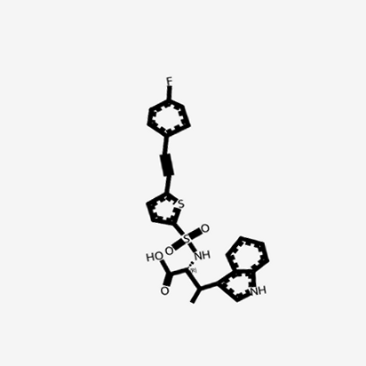 CC(c1c[nH]c2ccccc12)[C@@H](NS(=O)(=O)c1ccc(C#Cc2ccc(F)cc2)s1)C(=O)O